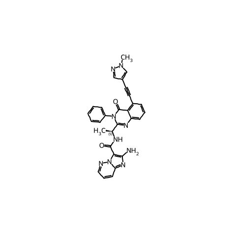 C[C@H](NC(=O)c1c(N)nc2cccnn12)c1nc2cccc(C#Cc3cnn(C)c3)c2c(=O)n1-c1ccccc1